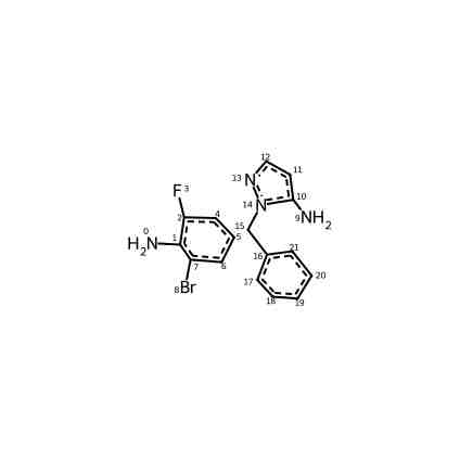 Nc1c(F)cccc1Br.Nc1ccnn1Cc1ccccc1